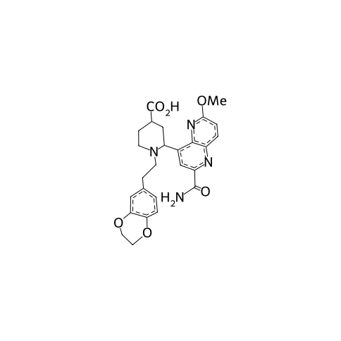 COc1ccc2nc(C(N)=O)cc(C3CC(C(=O)O)CCN3CCc3ccc4c(c3)OCCO4)c2n1